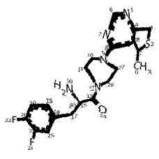 CC1SCc2ncnc(N3CCN(C(=O)[C@H](N)Cc4ccc(F)c(F)c4)CC3)c21